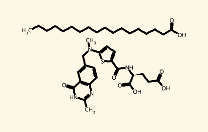 CCCCCCCCCCCCCCCCCC(=O)O.Cc1nc2ccc(CN(C)c3ccc(C(=O)N[C@@H](CCC(=O)O)C(=O)O)s3)cc2c(=O)[nH]1